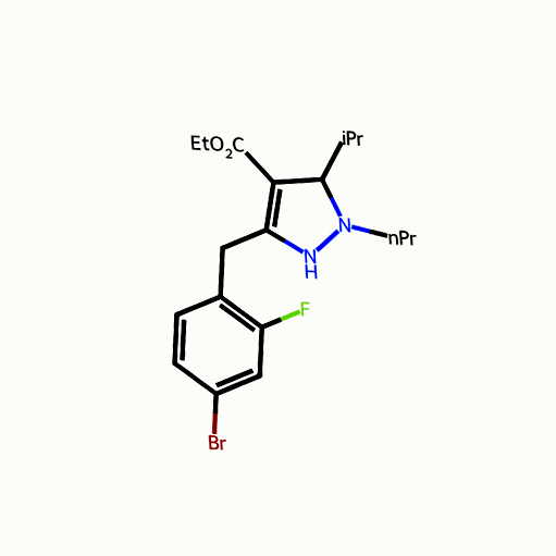 CCCN1NC(Cc2ccc(Br)cc2F)=C(C(=O)OCC)C1C(C)C